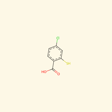 O=C(O)c1ccc(Cl)cc1S